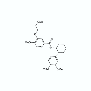 COCCOc1cc(C(=O)N[C@@H]2CCCC[C@@H]2c2ccc(OC)c(OC)c2)ccc1OC